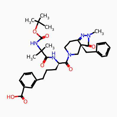 CN1N=C2CCN(C(=O)[C@@H](CCCc3cccc(C(=O)O)c3)NC(=O)C(C)(C)NC(=O)OC(C)(C)C)C[C@@]2(Cc2ccccc2)C1=O